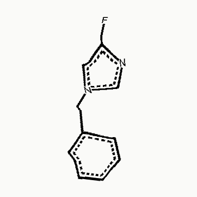 Fc1cn(Cc2ccccc2)cn1